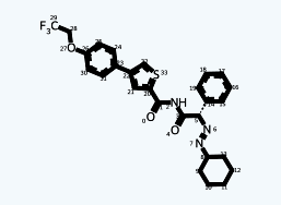 O=C(NC(=O)[C@@H](N=NC1CCCCC1)c1ccccc1)c1cc(-c2ccc(OCC(F)(F)F)cc2)cs1